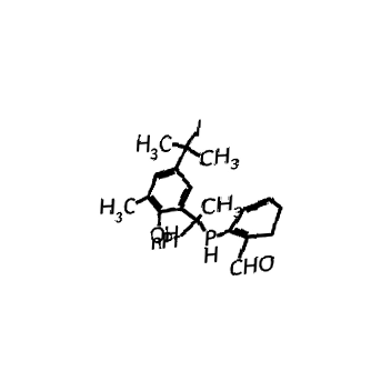 CCCC(C)(PC1=C(C=O)CCC=C1)c1cc(C(C)(C)I)cc(C)c1O